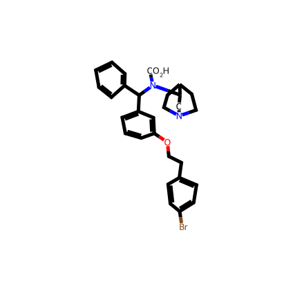 O=C(O)N(C(c1ccccc1)c1cccc(OCCc2ccc(Br)cc2)c1)C1CN2CCC1CC2